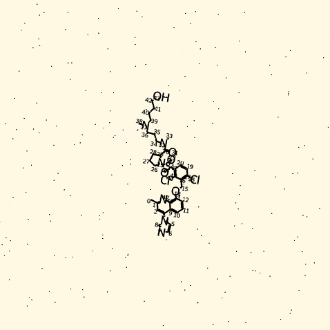 Cc1cc(-n2ccnc2)c2cccc(OCc3c(Cl)ccc(S(=O)(=O)N4CCC[C@H]4C(=O)N(C)CCCN(C)CCCCO)c3Cl)c2n1